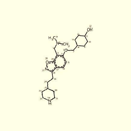 CN(C)Cc1c(OCC2CCC(O)CC2)ccc2c(CCC3CCNCC3)noc12